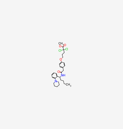 CCCCC(NC(=O)Cc1ccc(OCCCC(Cl)(Cl)C(=O)OC)cc1)c1ccccc1N1CCCCC1